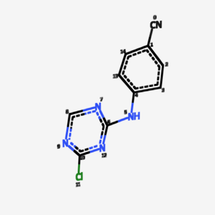 N#Cc1ccc(Nc2ncnc(Cl)n2)cc1